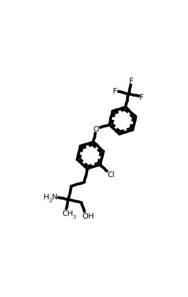 CC(N)(CO)CCc1ccc(Oc2cccc(C(F)(F)F)c2)cc1Cl